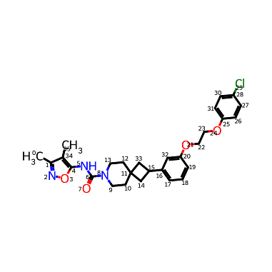 Cc1noc(NC(=O)N2CCC3(CC2)CC(c2cccc(OCCOc4ccc(Cl)cc4)c2)C3)c1C